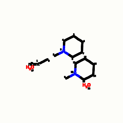 CCCCCC.CN1CCCCC1.CN1CCCCC1.O.O